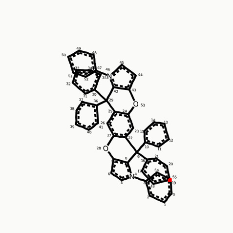 c1ccc(-n2ccc3c2C(c2ccccc2)(c2ccccc2)c2cc4c(cc2O3)C(c2ccccc2)(c2ccccc2)c2c(ccn2-c2ccccc2)O4)cc1